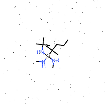 CCCC(C)(C)[Si](NC)(NC)NC(C)(C)C